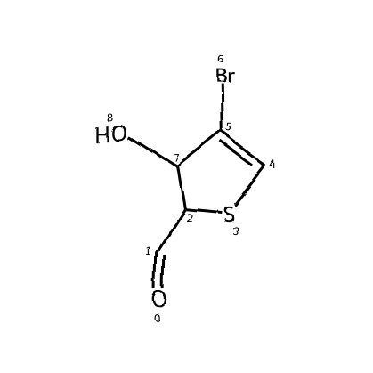 O=CC1SC=C(Br)C1O